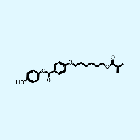 C=C(C)C(=O)OCCCCCCOc1ccc(C(=O)Oc2ccc(O)cc2)cc1